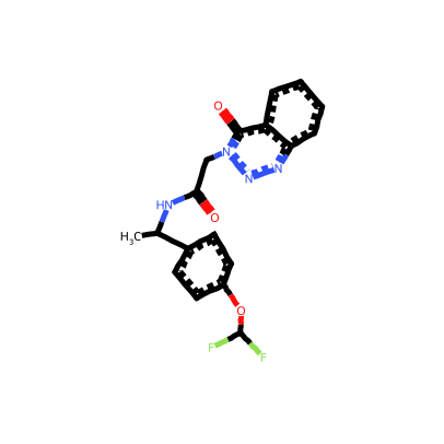 CC(NC(=O)Cn1nnc2ccccc2c1=O)c1ccc(OC(F)F)cc1